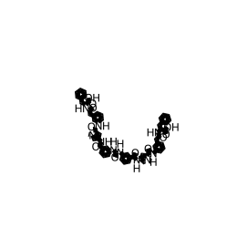 Cn1cc(NC(=O)c2cccc(NC(=O)Nc3cccc(C(=O)Nc4cc(C(=O)Nc5cccc(CC(=O)NC(Cc6ccccc6)C(=O)O)c5)n(C)c4)c3)c2)cc1C(=O)Nc1cccc(CC(=O)NC(Cc2ccccc2)C(=O)O)c1